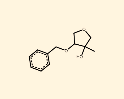 CC1(O)COCC1OCc1ccccc1